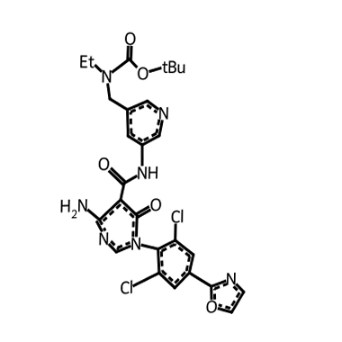 CCN(Cc1cncc(NC(=O)c2c(N)ncn(-c3c(Cl)cc(-c4ncco4)cc3Cl)c2=O)c1)C(=O)OC(C)(C)C